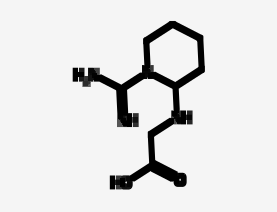 N=C(N)N1CCCCC1NCC(=O)O